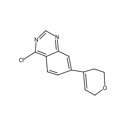 Clc1ncnc2cc(C3=CCOCC3)ccc12